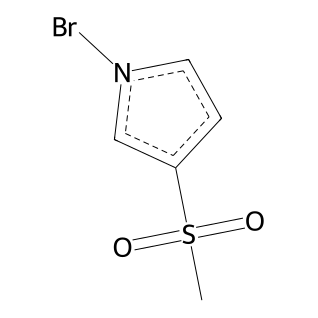 CS(=O)(=O)c1ccn(Br)c1